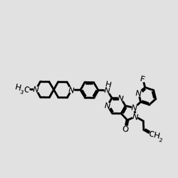 C=CCn1c(=O)c2cnc(Nc3ccc(N4CCC5(CCN(C)CC5)CC4)cc3)nc2n1-c1cccc(F)n1